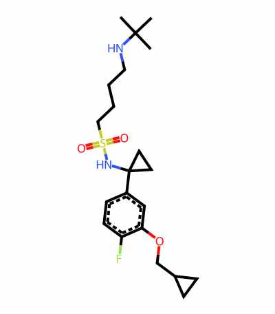 CC(C)(C)NCCCCS(=O)(=O)NC1(c2ccc(F)c(OCC3CC3)c2)CC1